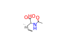 C=C[C@H](C)C(NC(C)=O)C(=O)O